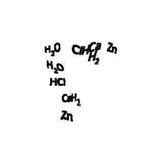 Cl.Cl.O.O.[CaH2].[CaH2].[Zn].[Zn]